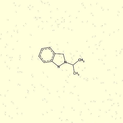 CC(C)N1Cc2ccccc2[N]1